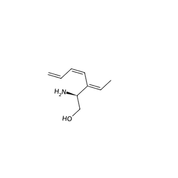 C=C/C=C\C(=C/C)[C@H](N)CO